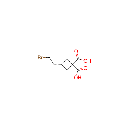 O=C(O)C1(C(=O)O)CC(CCBr)C1